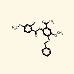 COc1ccc(C(=O)Nc2cc(OCc3ccccc3)c(OC)cc2C(C)=O)c(F)c1